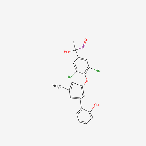 CC(O)(P=O)c1cc(Br)c(Oc2cc(C(=O)O)cc(-c3ccccc3O)c2)c(Br)c1